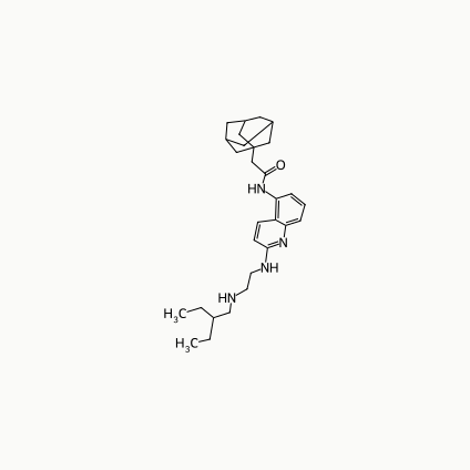 CCC(CC)CNCCNc1ccc2c(NC(=O)CC34CC5CC(CC(C5)C3)C4)cccc2n1